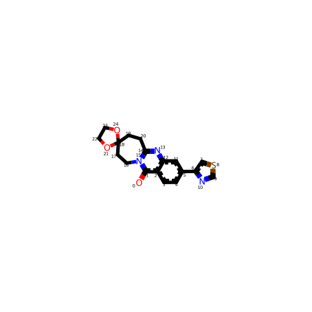 O=c1c2ccc(-c3cscn3)cc2nc2n1CCC1(CC2)OCCO1